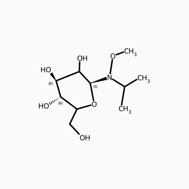 CON(C(C)C)[C@H]1OC(CO)[C@H](O)[C@@H](O)C1O